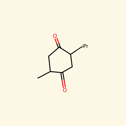 CC1CC(=O)C(C(C)C)CC1=O